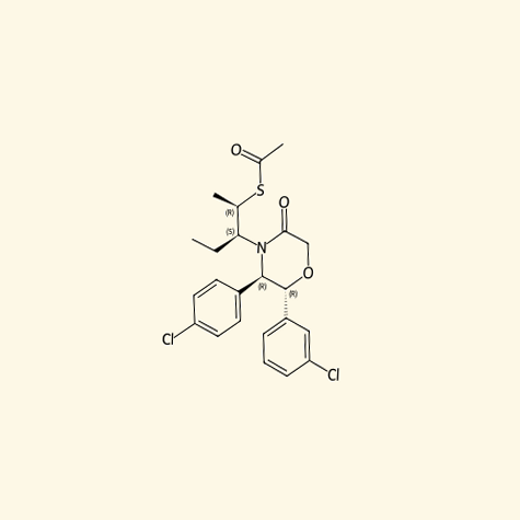 CC[C@@H]([C@@H](C)SC(C)=O)N1C(=O)CO[C@H](c2cccc(Cl)c2)[C@H]1c1ccc(Cl)cc1